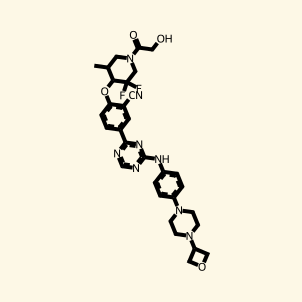 CC1CN(C(=O)CO)CC(F)(F)C1Oc1ccc(-c2ncnc(Nc3ccc(N4CCN(C5COC5)CC4)cc3)n2)cc1C#N